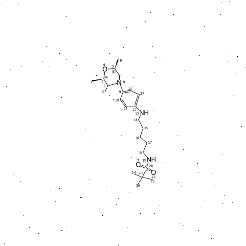 CC1[C@@H](C)O[C@@H](C)CN1c1ccc(NCCCCCNS(=O)(=O)C(C)(C)C)cc1